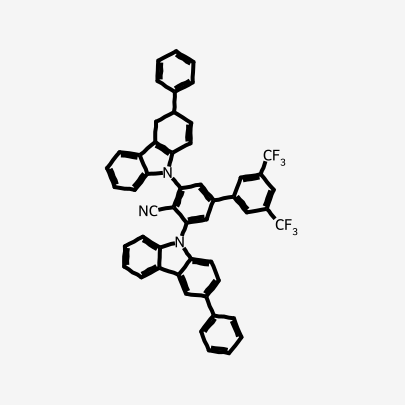 N#Cc1c(-n2c3c(c4ccccc42)CC(c2ccccc2)C=C3)cc(-c2cc(C(F)(F)F)cc(C(F)(F)F)c2)cc1-n1c2ccccc2c2cc(-c3ccccc3)ccc21